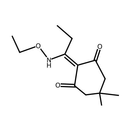 CCONC(CC)=C1C(=O)CC(C)(C)CC1=O